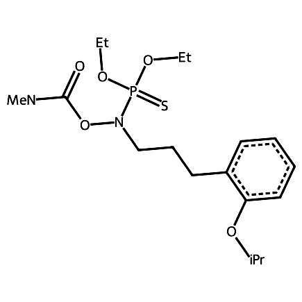 CCOP(=S)(OCC)N(CCCc1ccccc1OC(C)C)OC(=O)NC